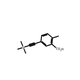 C[Si](C)(C)C#Cc1ccc(I)c(C(=O)O)c1